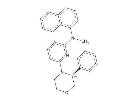 CN(c1nccc(N2CCOC[C@@H]2c2ccccc2)n1)c1cccc2ccccc12